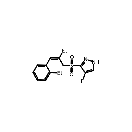 CCC(=Cc1ccccc1CC)CS(=O)(=O)c1n[nH]cc1F